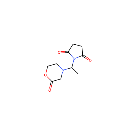 CC(N1CCOC(=O)C1)N1C(=O)CCC1=O